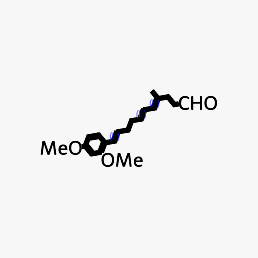 COc1ccc(/C=C/CC/C=C/C=C(\C)CCC=O)c(OC)c1